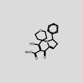 COC(=O)C1=C(O)C2(CCOCC2)N2C(=CCC2c2ccccc2)C1=O